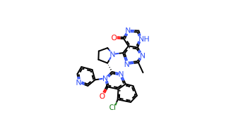 Cc1nc(N2CCC[C@H]2c2nc3cccc(Cl)c3c(=O)n2-c2cccnc2)c2c(=O)nc[nH]c2n1